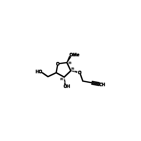 C#CCO[C@H]1[C@H](OC)OC(CO)[C@H]1O